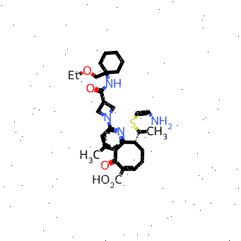 CCOCC1(NC(=O)C2CN(c3cc(C)c4c(n3)[C@H](C(C)S/C=C\N)CC/C=C(/C(=O)O)C4=O)C2)CCCCC1